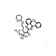 [2H]C([2H])([2H])N(C(=O)c1nc(-c2ccccc2Cl)c2ccccc2n1)[C@H](C)CCOC1CCCCO1